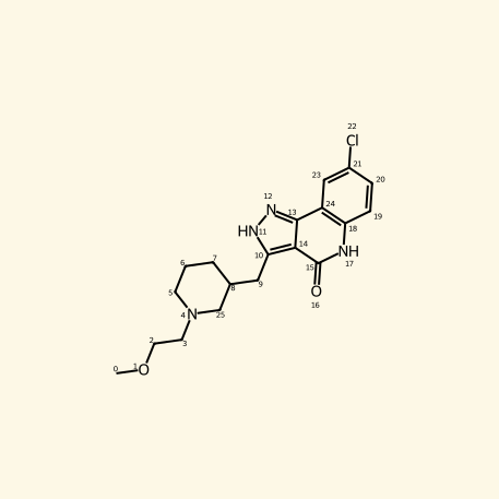 COCCN1CCCC(Cc2[nH]nc3c2c(=O)[nH]c2ccc(Cl)cc23)C1